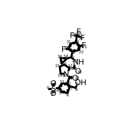 CS(=O)(=O)c1ccc(CO)c(C(=O)N2CCC[C@@H]2C(=O)NC(c2cc(F)c(C(F)(F)F)cc2F)C2CC2)c1